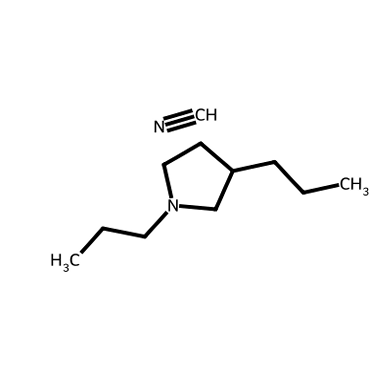 C#N.CCCC1CCN(CCC)C1